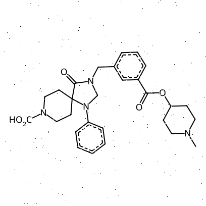 CN1CCC(OC(=O)c2cccc(CN3CN(c4ccccc4)C4(CCN(C(=O)O)CC4)C3=O)c2)CC1